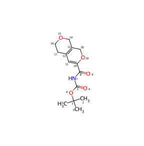 CC(C)(C)OC(=O)NC(=O)C1=CC2=C(COCC2)CO1